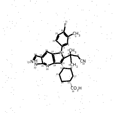 Cc1cc(-n2c(C(C)(C)CC#N)c([C@H]3CC[C@@H](C(=O)O)CC3)c3nc4[nH]ncc4cc32)ccc1F